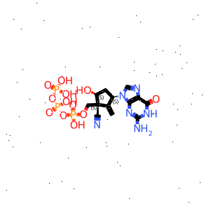 C=C1[C@@H](n2cnc3c(=O)[nH]c(N)nc32)C[C@H](O)[C@@]1(C#N)COP(=O)(O)OP(=O)(O)OP(=O)(O)O